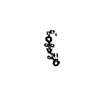 O=C(Nc1ccn(S(=O)(=O)c2ccc(OC(F)(F)F)cc2)c1)c1ccccn1